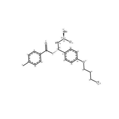 Cc1ccc(C(=O)C[C@H](N[S@+]([O-])C(C)(C)C)c2ccc(OCCCC(F)(F)F)cc2)cc1